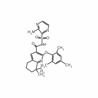 Cc1cc(C)c(Oc2nc3c(cc2C(=O)NS(=O)(=O)c2nccnc2N)CCCC3(C)C)c(C)c1